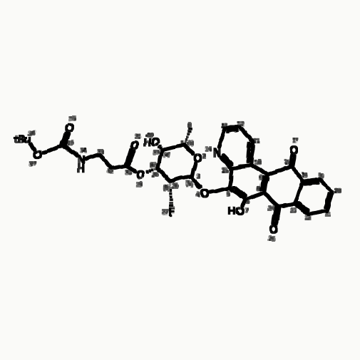 C[C@@H]1O[C@@H](Oc2c(O)c3c(c4cccnc24)C(=O)c2ccccc2C3=O)[C@H](F)[C@H](OC(=O)CCNC(=O)OC(C)(C)C)[C@@H]1O